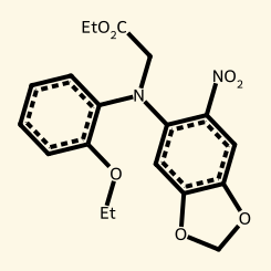 CCOC(=O)CN(c1ccccc1OCC)c1cc2c(cc1[N+](=O)[O-])OCO2